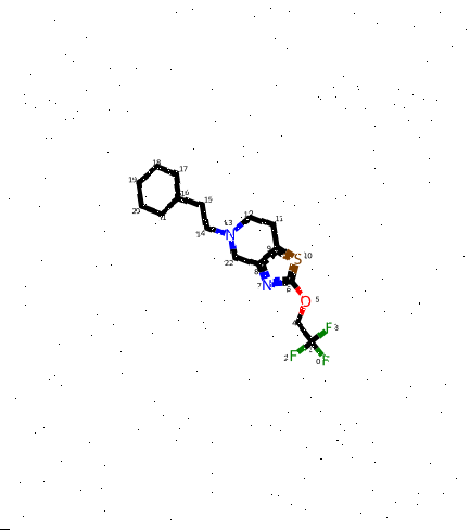 FC(F)(F)COc1nc2c(s1)CCN(CCC1CCCCC1)C2